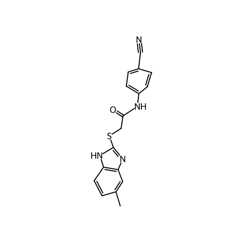 Cc1ccc2[nH]c(SCC(=O)Nc3ccc(C#N)cc3)nc2c1